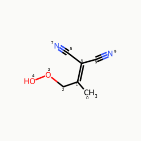 CC(COO)=C(C#N)C#N